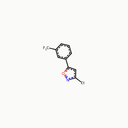 CCc1cc(-c2cccc(C(F)(F)F)c2)on1